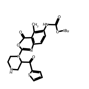 Cc1c(NC(=O)OC(C)(C)C)ccc2nc(N3CCNCC3C(=O)c3cccs3)oc(=O)c12